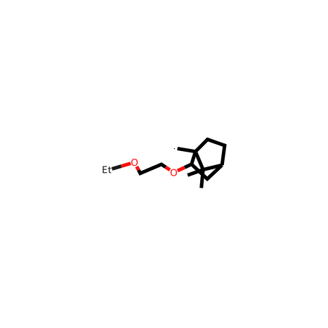 [CH2]C12CCC(CC1OCCOCC)C2(C)C